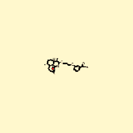 COC(=O)c1cccc(OCCCO[C@H]2O[C@@H]3O[C@@]4(C)CCC5[C@H](C)CC[C@@H]([C@H]2C)[C@]53OO4)c1